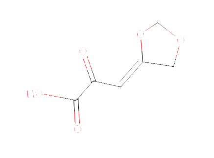 O=C(O)C(=O)C=C1COCO1